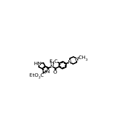 CCOC(=O)n1nc(NC(=O)c2ccc(N3CCN(C)CC3)cc2C(F)(F)F)c2c1CNC2